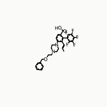 CC=Cc1c(N2CCN(CCOCc3ccccc3)CC2)ccc(C(=O)O)c1-c1c(F)c(F)c(F)c(F)c1F